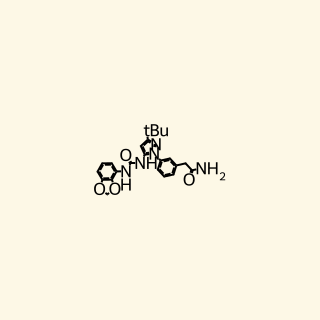 CC(C)(C)c1cc(NC(=O)Nc2cccc3c2OCO3)n(-c2cccc(CC(N)=O)c2)n1